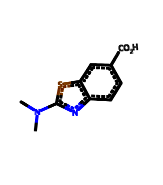 CN(C)c1nc2ccc(C(=O)O)cc2s1